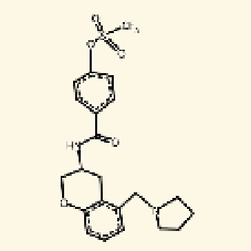 O=C(N[C@@H]1COc2cccc(CN3CCCC3)c2C1)c1ccc(OS(=O)(=O)C(F)(F)F)cc1